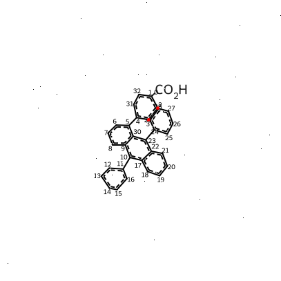 O=C(O)c1ccc(-c2cccc3c(-c4ccccc4)c4ccccc4c(-c4ccccc4)c23)cc1